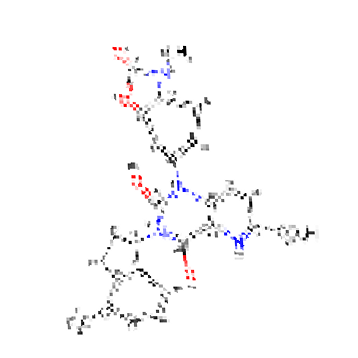 Cn1c(=O)oc2cc(-n3c(=O)n(C4CCc5c4cccc5C(F)(F)F)c(=O)c4nc(C(=O)O)ccc43)ccc21